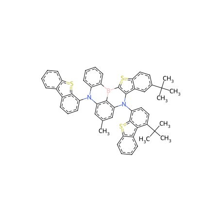 Cc1cc2c3c(c1)N(c1ccc(C(C)(C)C)c4c1sc1ccccc14)c1c(sc4ccc(C(C)(C)C)cc14)B3c1ccccc1N2c1cccc2c1sc1ccccc12